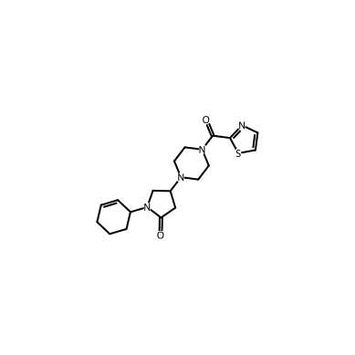 O=C(c1nccs1)N1CCN(C2CC(=O)N(C3C=CCCC3)C2)CC1